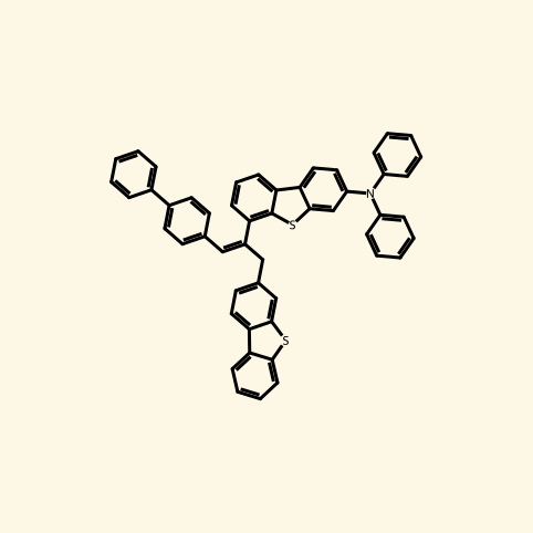 C(=C(\Cc1ccc2c(c1)sc1ccccc12)c1cccc2c1sc1cc(N(c3ccccc3)c3ccccc3)ccc12)/c1ccc(-c2ccccc2)cc1